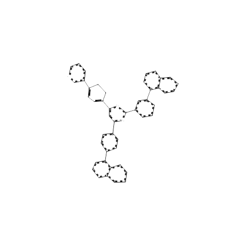 C1=C(c2cccnc2)CCC(c2cc(-c3ccc(-c4cccc5ccccc45)cc3)nc(-c3cccc(-c4cccc5ccccc45)c3)n2)=C1